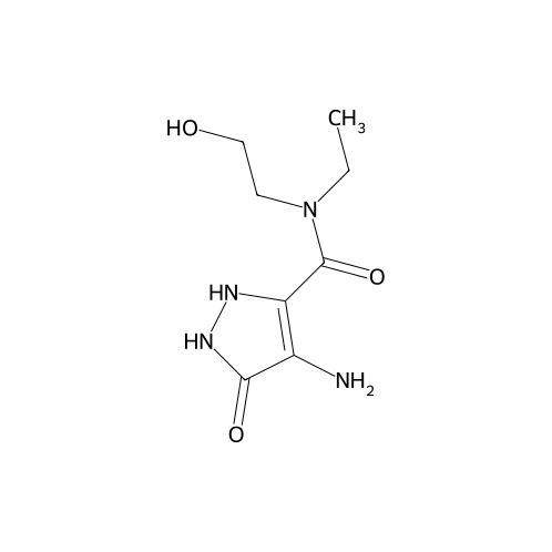 CCN(CCO)C(=O)c1[nH][nH]c(=O)c1N